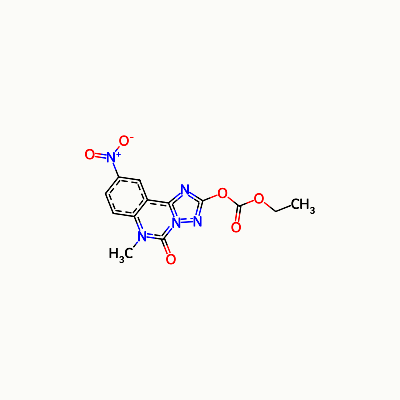 CCOC(=O)Oc1nc2c3cc([N+](=O)[O-])ccc3n(C)c(=O)n2n1